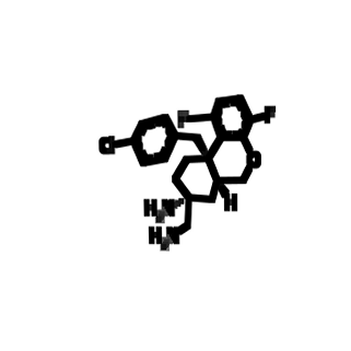 NC[C@@]1(N)CC[C@]2(Cc3ccc(Cl)cc3)c3c(F)ccc(F)c3OC[C@@H]2C1